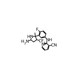 CC1(c2cc(Nc3ncccc3C#N)ccc2F)NC(N)CC1C(F)(F)F